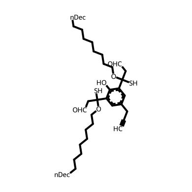 C#CCc1cc(C(S)(CC=O)OCCCCCCCCCCCCCCCCCC)c(O)c(C(S)(CC=O)OCCCCCCCCCCCCCCCCCC)c1